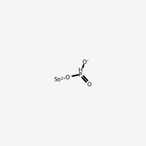 O=[PH]([O-])[O-].[Sn+2]